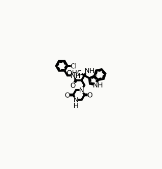 NC(C=O)(c1c[nH]c2ccccc12)C(CN1CC(=O)NCC1=O)C(=O)NCc1ccccc1Cl